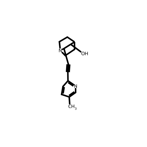 Cc1ccc(C#CC2C(O)C3CCN2CC3)nc1